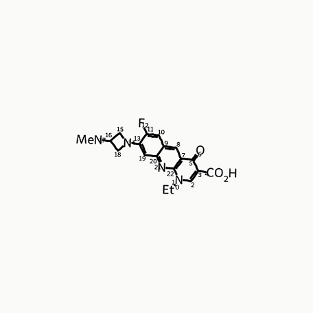 CCn1cc(C(=O)O)c(=O)c2cc3cc(F)c(N4CC(NC)C4)cc3nc21